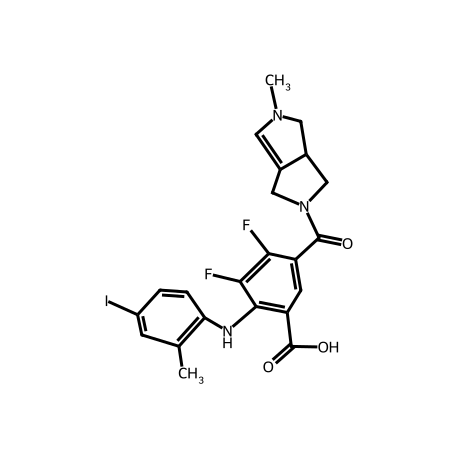 Cc1cc(I)ccc1Nc1c(C(=O)O)cc(C(=O)N2CC3=CN(C)CC3C2)c(F)c1F